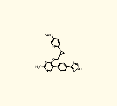 COc1ccc([C@H]2CC2COc2nc(C)ncc2-c2ccc(-c3nn[nH]n3)cc2)nc1